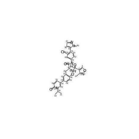 Cc1nocc1C(=O)NC(Cc1cc(-c2ccc(=O)n(C(C)C)c2)ccc1Cl)C(=O)Nc1ccc(-c2ccnn2C)c(Cl)c1